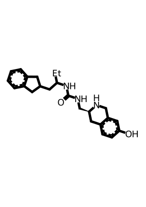 CCC(CC1Cc2ccccc2C1)NC(=O)NC[C@@H]1Cc2ccc(O)cc2CN1